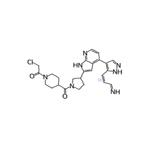 N=C/C=C\c1[nH]ncc1-c1ccnc2[nH]c(C3CCN(C(=O)C4CCN(C(=O)CCl)CC4)C3)cc12